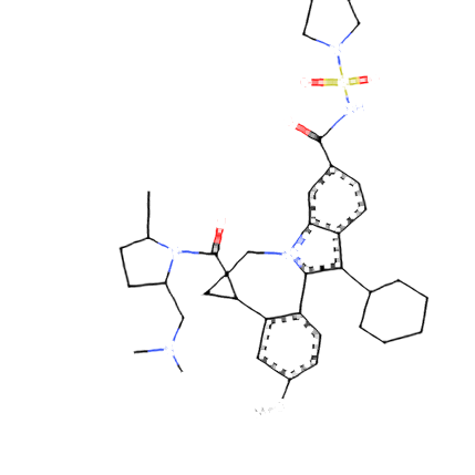 COc1ccc2c(c1)C1CC1(C(=O)N1C(C)CCC1CN(C)C)Cn1c-2c(C2CCCCC2)c2ccc(C(=O)NS(=O)(=O)N3CCCC3)cc21